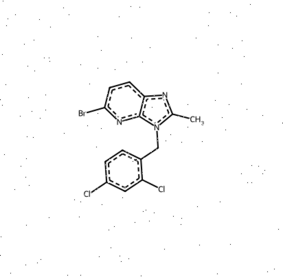 Cc1nc2ccc(Br)nc2n1Cc1ccc(Cl)cc1Cl